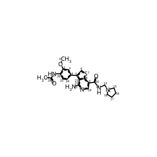 COc1cc(-c2csc3c(C(=O)NCN4CCCC4)cnc(N)c23)ccc1NC(C)=O